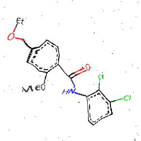 CCOc1ccc(C(=O)Nc2cccc(Cl)c2Cl)c(OC)c1